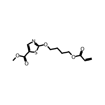 C=CC(=O)OCCCCOc1ncc(C(=O)OC)s1